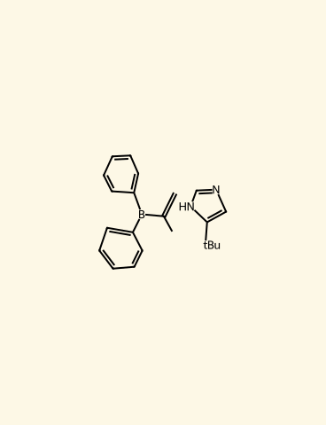 C=C(C)B(c1ccccc1)c1ccccc1.CC(C)(C)c1cnc[nH]1